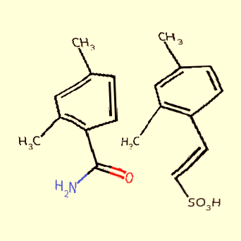 Cc1ccc(C(N)=O)c(C)c1.Cc1ccc(C=CS(=O)(=O)O)c(C)c1